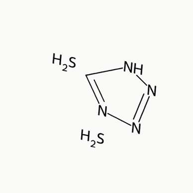 S.S.c1nnn[nH]1